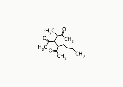 [CH2]C(C(C)=O)C(C(C)=O)C(CCCC)C(C)=O